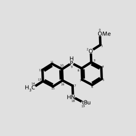 COCOc1ccccc1Pc1ccc(C)cc1CNC(C)(C)C